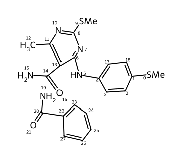 CSc1ccc(Nc2nc(SC)nc(C)c2C(N)=O)cc1.NC(=O)c1ccccc1